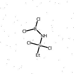 CC[Si](Cl)(Cl)NB(Cl)Cl